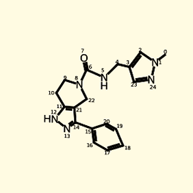 Cn1cc(CNC(=O)N2CCc3[nH]nc(-c4ccccc4)c3C2)cn1